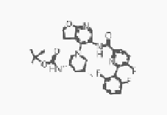 C[C@@H]1C[C@H](NC(=O)OC(C)(C)C)CN(c2c(NC(=O)c3ccc(F)c(-c4c(F)cccc4F)n3)cnc3c2CCO3)C1